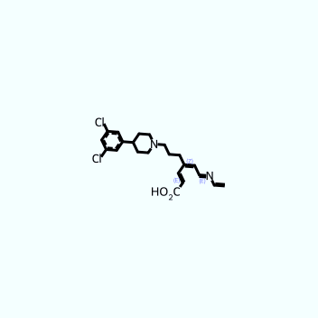 C=C/N=C/C=C(\C=C\C(=O)O)CCCN1CCC(c2cc(Cl)cc(Cl)c2)CC1